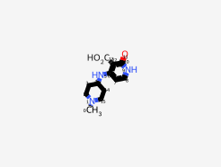 CN1CCC(Nc2cc[nH]c(=O)c2C(=O)O)CC1